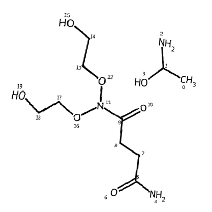 CC(N)O.NC(=O)CCC(=O)N(OCCO)OCCO